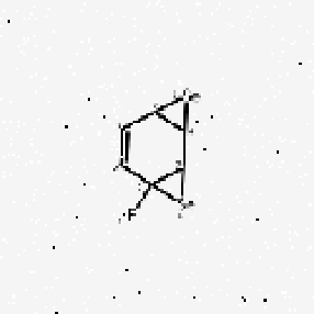 FC12C=CC3[Se]C3C1[Se]2